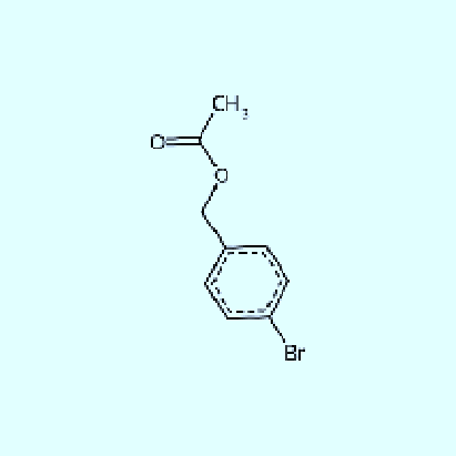 CC(=O)OCc1ccc(Br)cc1